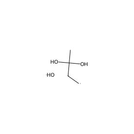 [CH2]CC(C)(O)O.[OH]